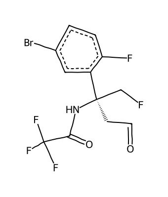 O=CC[C@](CF)(NC(=O)C(F)(F)F)c1cc(Br)ccc1F